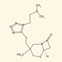 CN(C)CCn1nnnc1SCC1(C(=O)O)CS[C@@H]2CC(=O)N2C1